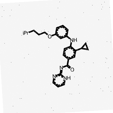 CC(C)CCCOc1cccc(Nc2ccc(C(=O)N=c3nccc[nH]3)cc2C2CC2)c1